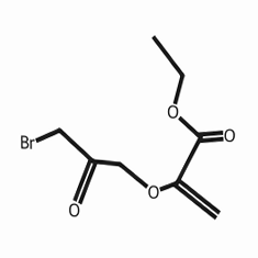 C=C(OCC(=O)CBr)C(=O)OCC